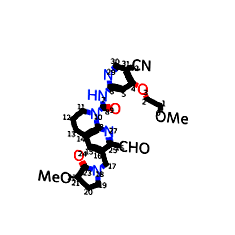 COCCOc1cc(NC(=O)N2CCCc3cc(CN4CC[C@H](OC)C4=O)c(C=O)nc32)ncc1C#N